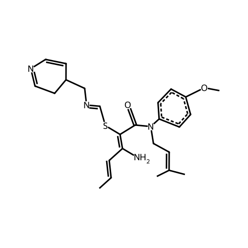 C/C=C/C(N)=C(\S/C=N/CC1C=CN=CC1)C(=O)N(CC=C(C)C)c1ccc(OC)cc1